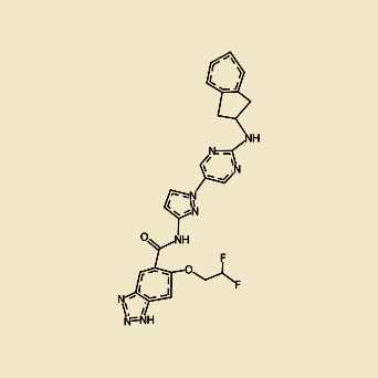 O=C(Nc1ccn(-c2cnc(NC3Cc4ccccc4C3)nc2)n1)c1cc2nn[nH]c2cc1OCC(F)F